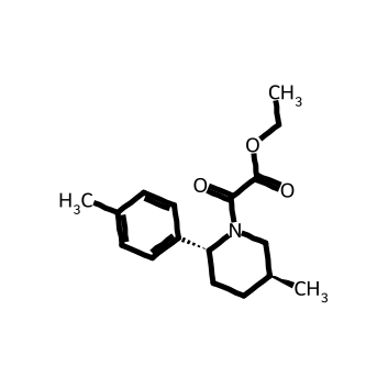 CCOC(=O)C(=O)N1C[C@@H](C)CC[C@@H]1c1ccc(C)cc1